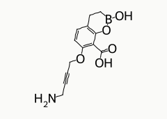 NCC#CCOc1ccc2c(c1C(=O)O)OB(O)CC2